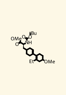 CCC1=C(C2=CCC(C[C@H](NC(=O)OC(C)(C)C)C(=O)OC)CC2)CCC(OC)C1